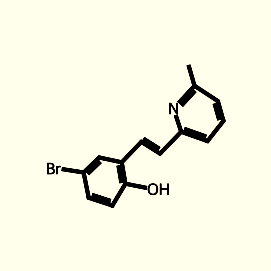 Cc1cccc(C=Cc2cc(Br)ccc2O)n1